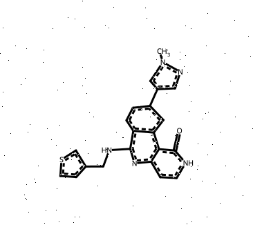 Cn1cc(-c2ccc3c(NCc4ccsc4)nc4cc[nH]c(=O)c4c3c2)cn1